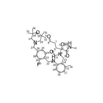 CNC(=O)C(O)(CCC=O)N(C=O)Cc1c(C)cccc1NCc1ccc(CN2CC(C)(C)OC(C)(C)C2)cc1F